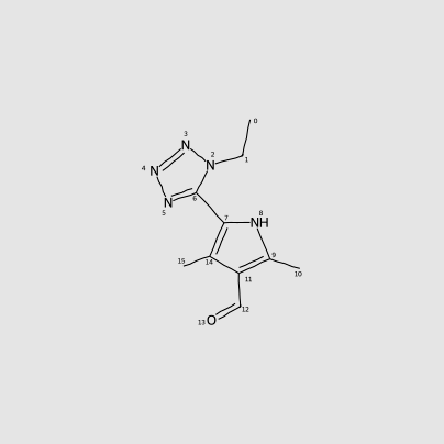 CCn1nnnc1-c1[nH]c(C)c(C=O)c1C